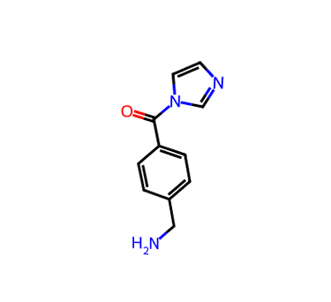 NCc1ccc(C(=O)n2ccnc2)cc1